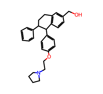 OCc1ccc2c(c1)CCC(c1ccccc1)C2c1ccc(OCCN2CCCC2)cc1